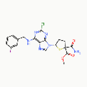 COC(=O)C1(C(N)=O)CCC(n2cnc3c(NCc4cccc(I)c4)nc(Cl)nc32)S1